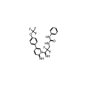 N=C(n1cc(-c2ccc(OC(F)(F)F)cc2)ccc1=N)C(F)(F)CNC(=O)Nc1ccccc1